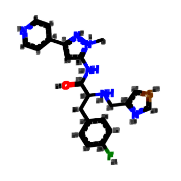 Cn1nc(-c2ccncc2)cc1NC(=O)C(Cc1ccc(F)cc1)NCc1cscn1